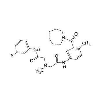 Cc1ccc(NC(=O)CN(C)CC(=O)Nc2cccc(F)c2)cc1C(=O)N1CCCCCC1